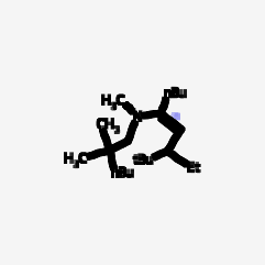 CCCC/C(=C/C(CC)C(C)(C)C)N(C)CC(C)(C)CCCC